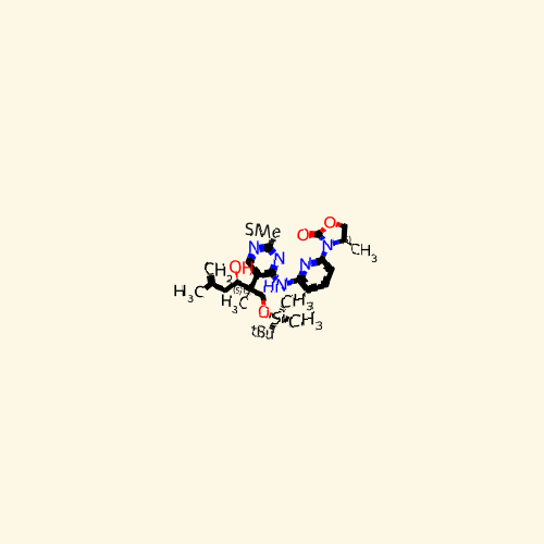 C=C(C)C[C@H](O)[C@](C)(CO[Si](C)(C)C(C)(C)C)c1cnc(SC)nc1Nc1cccc(N2C(=O)OC[C@@H]2C)n1